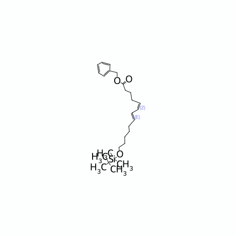 CC(C)(C)[Si](C)(C)OCCCCC/C=C/C=C\CCCC(=O)OCc1ccccc1